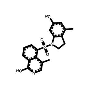 Cc1cc(C#N)cc2c1CCN2S(=O)(=O)c1cccc2c(O)ncc(C)c12